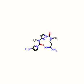 CN(CCC(=N)N)C(=O)n1ccc(N(C)C(=O)n2ccc(N)c2)n1